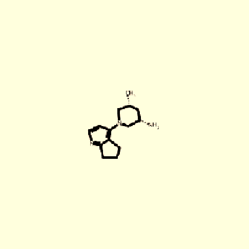 C[C@@H]1C[C@H](N)CN(c2ccnc3c2CCC3)C1